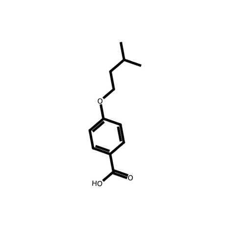 CC(C)CCOc1ccc(C(=O)O)cc1